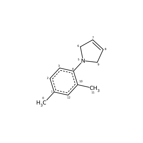 Cc1ccc(N2CC=CC2)c(C)c1